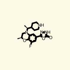 C[C@H]1CN([C@@H](C)C2CCNCC2)c2cc(-c3n[nH]c(=O)o3)cc(F)c2O1